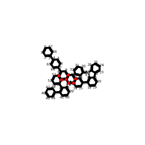 c1ccc(-c2ccc(-c3ccc(N(c4ccc(-c5cccc6c7ccccc7n(-c7ccccc7)c56)cc4)c4cccc(-c5ccccc5)c4-c4ccccc4-c4ccccc4)cc3)cc2)cc1